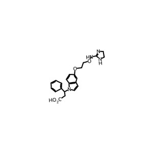 O=C(O)CC(c1ccccc1)n1ccc2cc(OCCONC3=NCCN3)ccc21